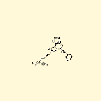 CN(C)CCOC[C@]12CC1N(C(=O)OC(C)(C)C)[C@H](C(=O)OCc1ccccc1)C2